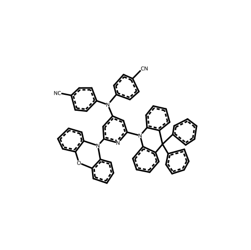 N#Cc1ccc(N(c2ccc(C#N)cc2)c2cc(N3c4ccccc4Oc4ccccc43)nc(N3c4ccccc4C(c4ccccc4)(c4ccccc4)c4ccccc43)c2)cc1